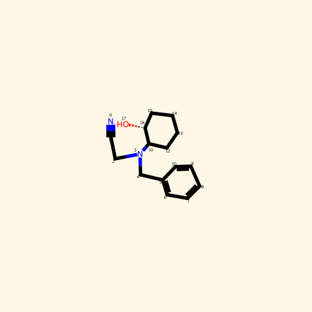 N#CCN(Cc1ccccc1)C1CCCC[C@H]1O